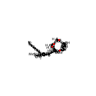 C=C1C[C@@H]2CC[C@]34C[C@@H](O)[C@H](O3)[C@H]3C[C@@H](O4)[C@H]4O[C@H](CC[C@@H]4O3)CC(=O)C[C@@H]3[C@@H](OC)[C@@H](C[C@H](O)CNC(=O)OCc4ccc(N(CCOCCOCCOCCN=[N+]=[N-])C(=O)OCC(C)(C)SSC)cc4)O[C@H]3C[C@H]3O[C@@H](CC[C@@H]1O2)C[C@@H](C)C3=C